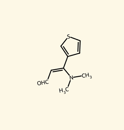 CN(C)C(=CC=O)c1ccsc1